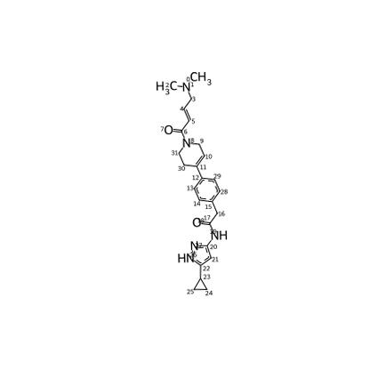 CN(C)C/C=C/C(=O)N1CC=C(c2ccc(CC(=O)Nc3cc(C4CC4)[nH]n3)cc2)CC1